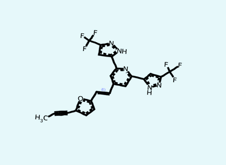 CC#Cc1ccc(/C=C/c2cc(-c3cc(C(F)(F)F)n[nH]3)nc(-c3cc(C(F)(F)F)n[nH]3)c2)o1